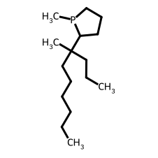 CCCCCCC(C)(CCC)C1CCCP1C